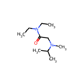 CCN(CC)C(=O)CN(C)C(C)C